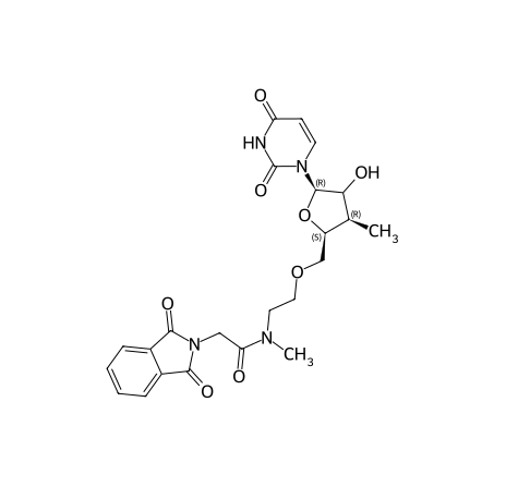 C[C@@H]1C(O)[C@H](n2ccc(=O)[nH]c2=O)O[C@@H]1COCCN(C)C(=O)CN1C(=O)c2ccccc2C1=O